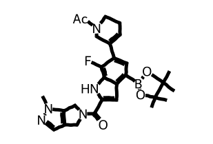 CC(=O)N1CCC=C(c2cc(B3OC(C)(C)C(C)(C)O3)c3cc(C(=O)N4Cc5cnn(C)c5C4)[nH]c3c2F)C1